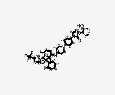 CC/C=C\C(=N/N1CCN(c2ccc(-n3cnn([C@@H](CC)[C@H](C)O)c3=O)cc2)CC1)C(F)(F)C(O)(Cn1cnc(C(F)(F)F)n1)c1ccccc1F